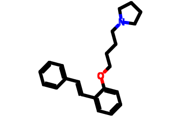 C(=C\c1ccccc1OCCCCN1CCCC1)/c1ccccc1